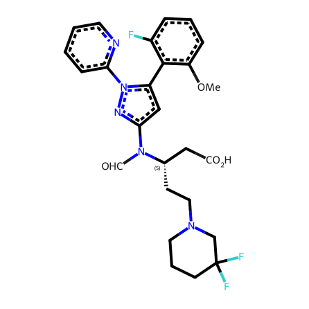 COc1cccc(F)c1-c1cc(N(C=O)[C@@H](CCN2CCCC(F)(F)C2)CC(=O)O)nn1-c1ccccn1